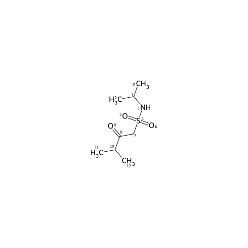 CC(C)NS(=O)(=O)CC(=O)C(C)C